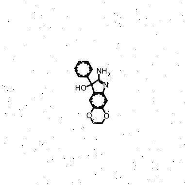 NC1=Nc2cc3c(cc2C1(O)c1ccccc1)OCCO3